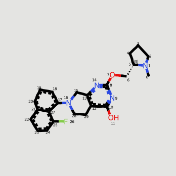 CN1CCC[C@H]1COc1nc(O)c2c(n1)CN(c1cccc3cccc(F)c13)CC2